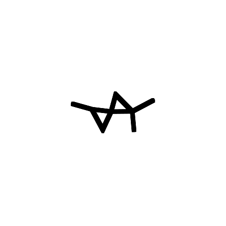 CC1CC12CC2(C)C